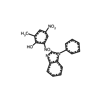 Cc1cc([N+](=O)[O-])cc([N+](=O)[O-])c1O.c1ccc(-n2cnc3ccccc32)cc1